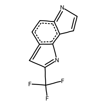 FC(F)(F)C1=Nc2c3c(ccc2=C1)=NC=C3